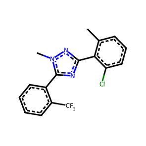 Cc1cccc(Cl)c1-c1nc(-c2ccccc2C(F)(F)F)n(C)n1